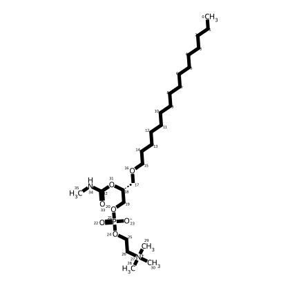 CCCCCCCCCCCCCCCCOC[C@H](COP(=O)([O-])OCC[N+](C)(C)C)OC(=O)NC